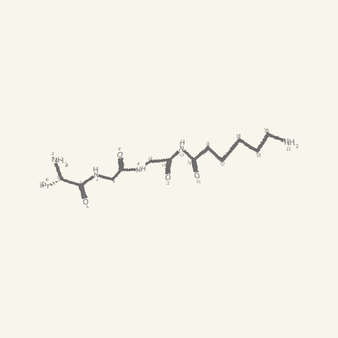 CC(C)[C@H](N)C(=O)NCC(=O)NCC(=O)NC(=O)CCCCCN